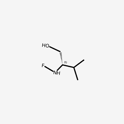 CC(C)[C@@H](CO)NF